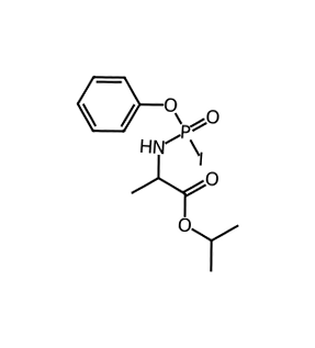 CC(C)OC(=O)C(C)NP(=O)(I)Oc1ccccc1